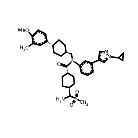 COc1ccc([C@H]2CC[C@H](CN(c3cccc(-c4cnn(C5CC5)c4)c3)C(=O)[C@H]3CC[C@H](C(N)S(C)(=O)=O)CC3)CC2)cc1C